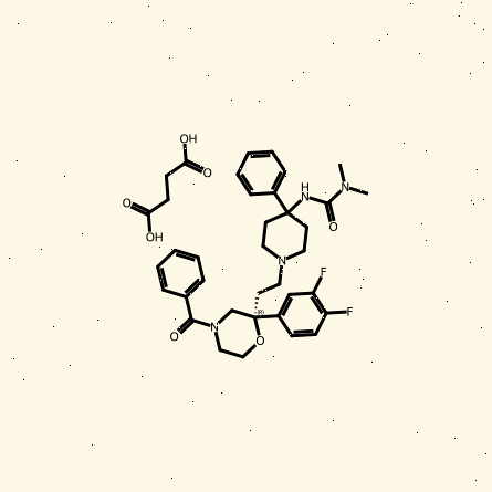 CN(C)C(=O)NC1(c2ccccc2)CCN(CC[C@@]2(c3ccc(F)c(F)c3)CN(C(=O)c3ccccc3)CCO2)CC1.O=C(O)CCC(=O)O